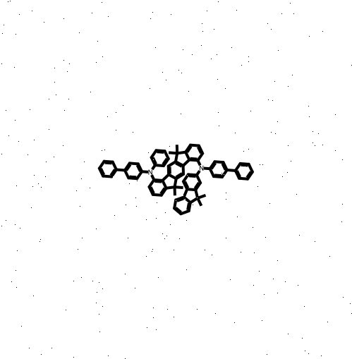 CC1(C)c2ccccc2-c2ccc(N(c3ccc(-c4ccccc4)cc3)c3cccc4c3-c3cc5c(cc3C4(C)C)-c3c(N(c4ccccc4)c4ccc(-c6ccccc6)cc4)cccc3C5(C)C)cc21